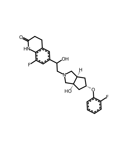 O=C1CCc2cc(C(O)CN3C[C@H]4C[C@H](Oc5ccccc5F)C[C@@]4(O)C3)cc(F)c2N1